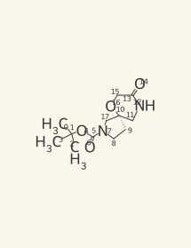 CC(C)(C)OC(=O)N1CC[C@]2(CNC(=O)CO2)C1